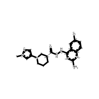 Cn1cc(N2CCC[C@@H](C(=O)NNc3nc(N)nc4ccc(Cl)cc34)C2)cn1